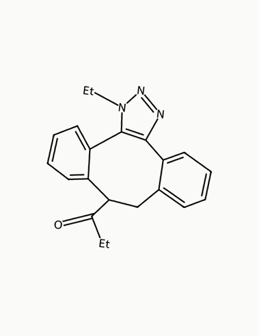 CCC(=O)C1Cc2ccccc2-c2nnn(CC)c2-c2ccccc21